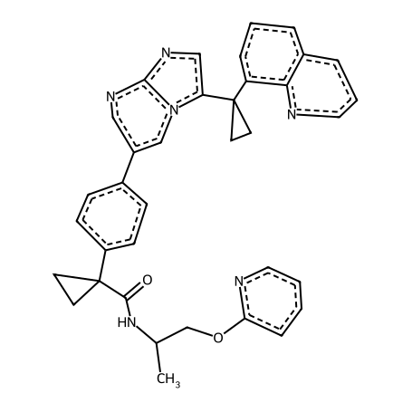 CC(COc1ccccn1)NC(=O)C1(c2ccc(-c3cnc4ncc(C5(c6cccc7cccnc67)CC5)n4c3)cc2)CC1